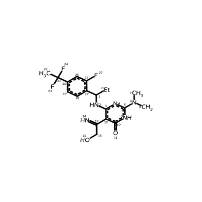 CCC(Nc1nc(N(C)C)[nH]c(=O)c1C(=N)CO)c1ccc(C(C)(F)F)cc1F